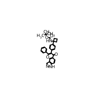 CC(C)(C)OC(=O)NC1(c2ccc(-c3c(-c4ccccc4)oc4c(ccc5[nH]ncc54)c3=O)cc2)CCC1